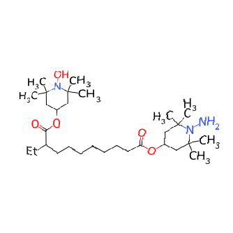 CCC(CCCCCCCC(=O)OC1CC(C)(C)N(N)C(C)(C)C1)C(=O)OC1CC(C)(C)N(O)C(C)(C)C1